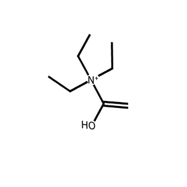 C=C(O)[N+](CC)(CC)CC